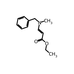 CCOC(=O)/C=C/N(C)Cc1ccccc1